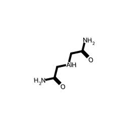 NC(=O)[CH2][AlH][CH2]C(N)=O